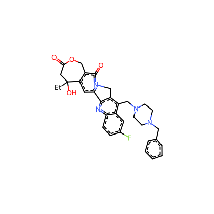 CCC1(O)CC(=O)OCc2c1cc1n(c2=O)Cc2c-1nc1ccc(F)cc1c2CN1CCN(Cc2ccccc2)CC1